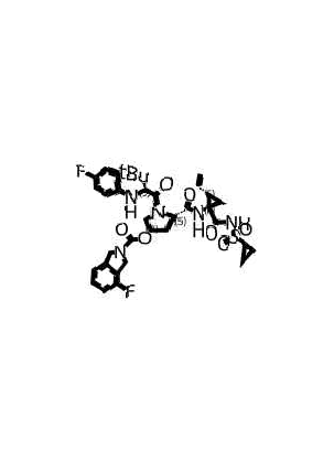 C=C[C@@H]1C[C@]1(NC(=O)[C@@H]1C[C@@H](OC(=O)N2Cc3cccc(F)c3C2)CN1C(=O)[C@@H](Nc1ccc(F)cc1)C(C)(C)C)C(=O)NS(=O)(=O)C1CC1